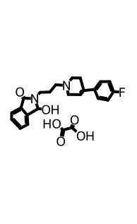 O=C(O)C(=O)O.O=C1c2ccccc2C(O)N1CCCN1CC=C(c2ccc(F)cc2)CC1